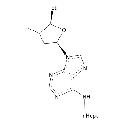 CCCCCCCNc1ncnc2c1ncn2[C@H]1CC(C)[C@@H](CC)O1